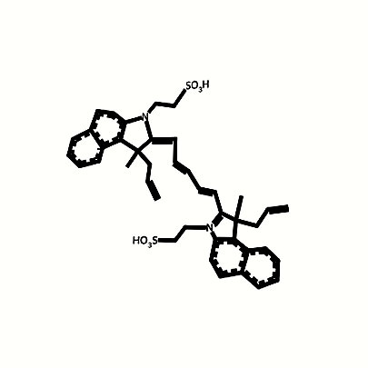 C=CCC1(C)C(/C=C/C=C/C=C2/N(CCS(=O)(=O)O)c3ccc4ccccc4c3C2(C)CC=C)=[N+](CCS(=O)(=O)O)c2ccc3ccccc3c21